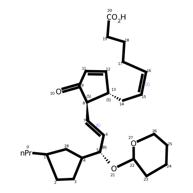 CCCC1CCC([C@H](/C=C/[C@H]2C(=O)C=C[C@@H]2C/C=C\CCCC(=O)O)OC2CCCCO2)C1